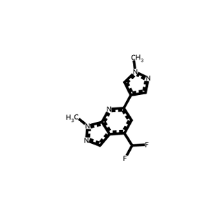 Cn1cc(-c2cc(C(F)F)c3cnn(C)c3n2)cn1